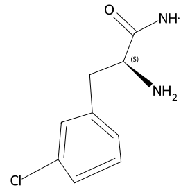 [NH]C(=O)[C@@H](N)Cc1cccc(Cl)c1